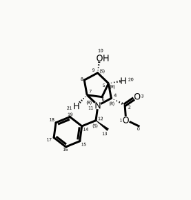 COC(=O)[C@H]1[C@H]2C[C@H](C[C@@H]2O)N1[C@@H](C)c1ccccc1